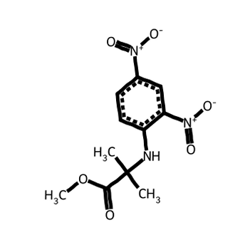 COC(=O)C(C)(C)Nc1ccc([N+](=O)[O-])cc1[N+](=O)[O-]